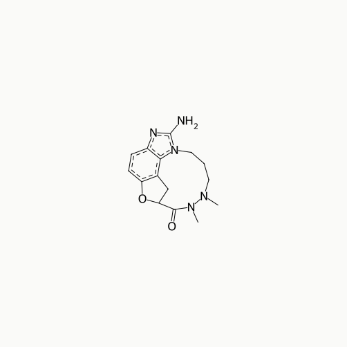 CN1CCCn2c(N)nc3ccc4c(c32)CC(O4)C(=O)N1C